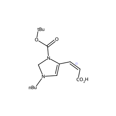 CCCCN1C=C(/C=C\C(=O)O)N(C(=O)OC(C)(C)C)C1